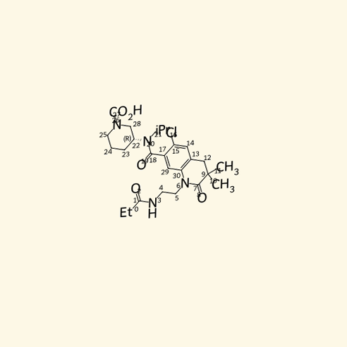 CCC(=O)NCCN1C(=O)C(C)(C)Cc2cc(Cl)c(C(=O)N(C(C)C)[C@@H]3CCCN(C(=O)O)C3)cc21